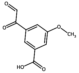 COc1cc(C(=O)O)cc(C(=O)C=O)c1